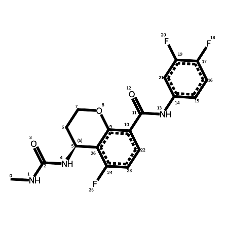 CNC(=O)N[C@H]1CCOc2c(C(=O)Nc3ccc(F)c(F)c3)ccc(F)c21